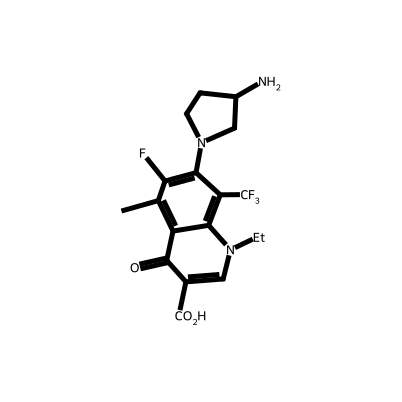 CCn1cc(C(=O)O)c(=O)c2c(C)c(F)c(N3CCC(N)C3)c(C(F)(F)F)c21